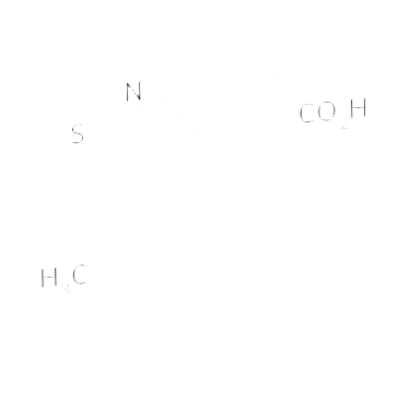 Cc1cc(CC(=O)O)ns1